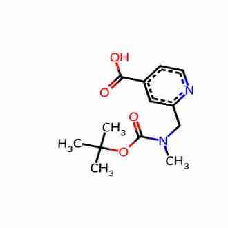 CN(Cc1cc(C(=O)O)ccn1)C(=O)OC(C)(C)C